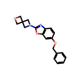 c1ccc(COc2ccc3nc(N4CC5(COC5)C4)oc3c2)cc1